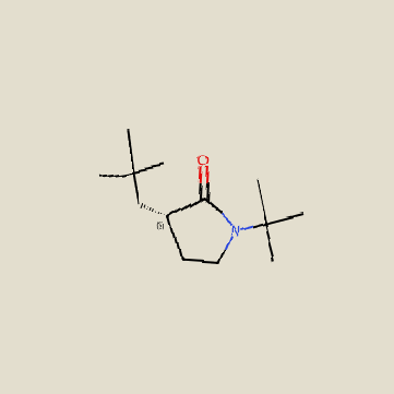 CC(C)(C)C[C@H]1CCN(C(C)(C)C)C1=O